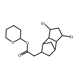 CCC1CC(CC)C2C3CC(CC3CC(=O)OC3CCCCO3)C12